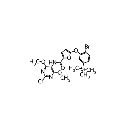 COc1nc(Cl)nc(OC)c1NC(=O)c1ccc(Oc2cc([Si](C)(C)C)ccc2Br)o1